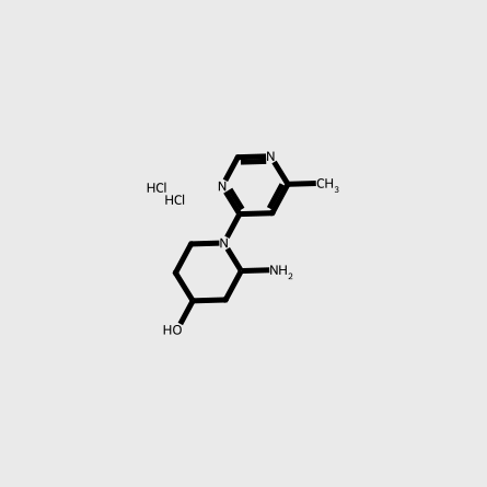 Cc1cc(N2CCC(O)CC2N)ncn1.Cl.Cl